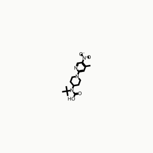 Cc1cc(N2CCC(N(C(=O)O)C(C)(C)C)CC2)ncc1[N+](=O)[O-]